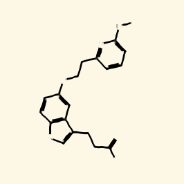 CNc1cccc(CCOc2ccc3[nH]cc(CCC(=O)O)c3c2)n1